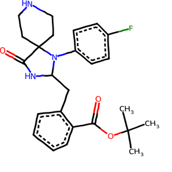 CC(C)(C)OC(=O)c1ccccc1CC1NC(=O)C2(CCNCC2)N1c1ccc(F)cc1